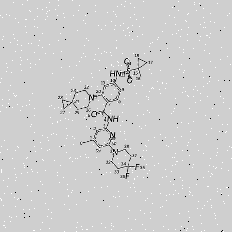 Cc1cc(NC(=O)c2ccc(NS(=O)(=O)C3(C)CC3)cc2N2CCC3(CC2)CC3)nc(N2CCC(F)(F)CC2)c1